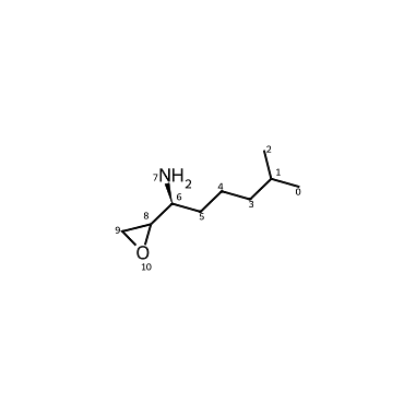 CC(C)CCC[C@H](N)C1CO1